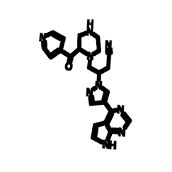 N#CCC(CN1CCNCC1C(=O)c1ccncc1)n1cc(-c2ncnc3[nH]ccc23)cn1